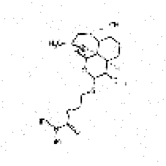 CC(C)N(C(=O)OCCS[C@@H]1O[C@@H]2O[C@]3(C)CC[C@H]4[C@H](C)CC[C@@H]([C@H]1C)[C@@]24OO3)C(C)C